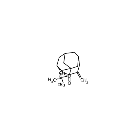 C=C1CC2CC3CC(CC(O[Si](C)(C)C(C)(C)C)(C2)C3)OC1=O